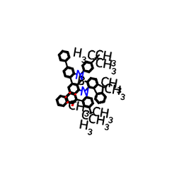 Cc1ccccc1-c1cc2c3c(c1)N(c1ccc(C(C)(C)C)cc1-c1ccccc1)c1c(ccc4c1-c1ccccc1C4(C)C)B3N(c1ccc(C(C)(C)C)cc1)c1cc(-c3ccccc3)ccc1-2